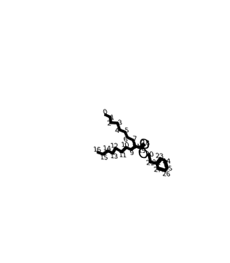 CCCCCCCCC(CCCCCCCC)C(=O)OCCc1ccccc1